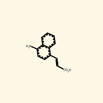 Nc1ccc(/C=C/C(=O)O)c2ccccc12